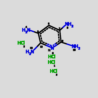 Cl.Cl.Cl.Cl.Nc1cc(N)c(N)nc1N